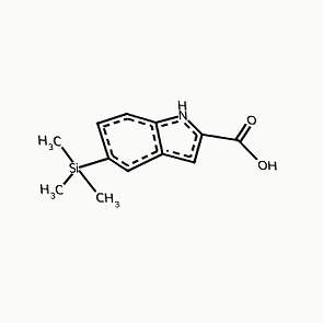 C[Si](C)(C)c1ccc2[nH]c(C(=O)O)cc2c1